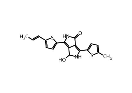 C/C=C/c1ccc(C2=C3C(=C(c4ccc(C)s4)NC3O)C(=O)N2)s1